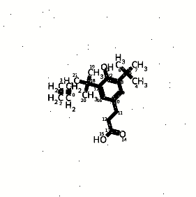 C=C.C=C.CC(C)(C)c1cc(CCC(=O)O)cc(C(C)(C)C)c1O